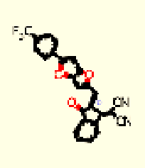 N#CC(C#N)=C1/C(=C/c2cc3oc(-c4ccc(C(F)(F)F)cc4)cc3o2)C(=O)c2ccccc21